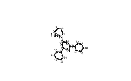 B1C=CC=CN1c1nc(-c2ccccc2)nc(-c2ccccc2)n1